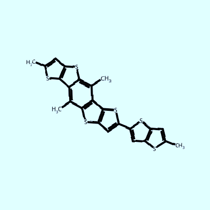 Cc1cc2sc(-c3cc4sc5c(C)c6c(sc7cc(C)sc76)c(C)c5c4s3)cc2s1